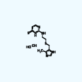 Cc1nc[nH]c1CSCCNc1nccc(=S)[nH]1.Cl.Cl